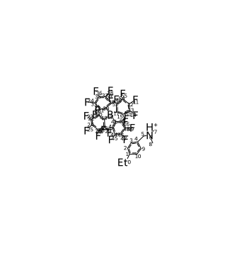 CCc1ccc(C[NH+](C)C)cc1.Fc1c(F)c(F)c([B-](c2c(F)c(F)c(F)c(F)c2F)(c2c(F)c(F)c(F)c(F)c2F)c2c(F)c(F)c(F)c(F)c2F)c(F)c1F